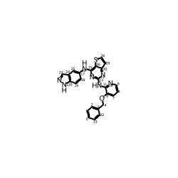 c1ccc(COc2cccnc2Nc2nc(Nc3ccc4[nH]ncc4c3)c3sccc3n2)cc1